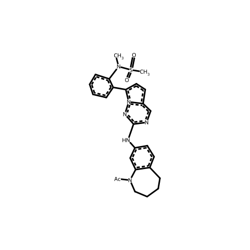 CC(=O)N1CCCCc2ccc(Nc3ncc4ccc(-c5ccccc5N(C)S(C)(=O)=O)n4n3)cc21